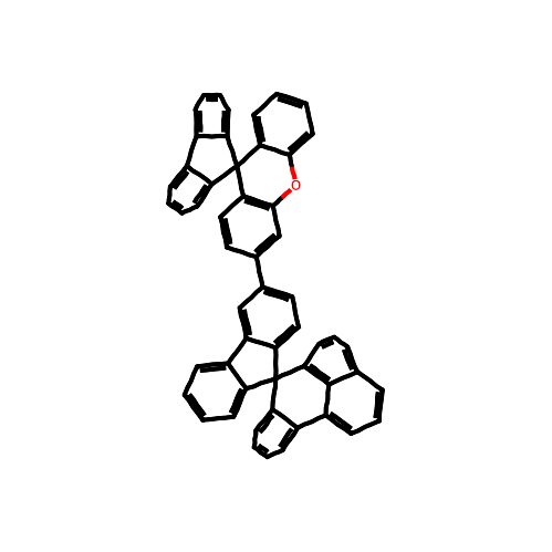 c1ccc2c(c1)Oc1cc(-c3ccc4c(c3)-c3ccccc3C43c4ccccc4-c4cccc5cccc3c45)ccc1C21c2ccccc2-c2ccccc21